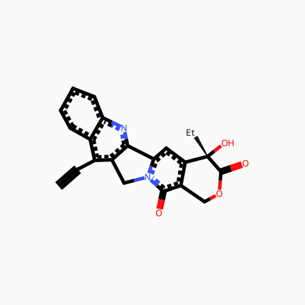 C#Cc1c2c(nc3ccccc13)-c1cc3c(c(=O)n1C2)COC(=O)[C@]3(O)CC